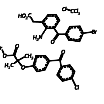 CC(C)OC(=O)C(C)(C)Oc1ccc(C(=O)c2ccc(Cl)cc2)cc1.ClC(Cl)(Cl)Cl.Nc1c(CC(=O)O)cccc1C(=O)c1ccc(Br)cc1